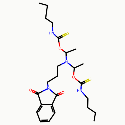 CCCCNC(=S)OC(C)N(CCCN1C(=O)c2ccccc2C1=O)C(C)OC(=S)NCCCC